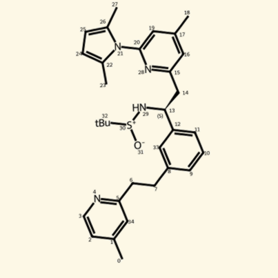 Cc1ccnc(CCc2cccc([C@H](Cc3cc(C)cc(-n4c(C)ccc4C)n3)N[S+]([O-])C(C)(C)C)c2)c1